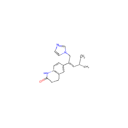 CC(C)C=C(Cn1ccnc1)c1ccc2c(c1)CCC(=O)N2